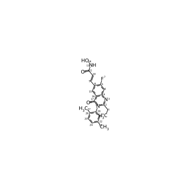 CCc1nc2cc(F)c(/C=C/C(=O)NO)cc2c(=O)n1-c1cc(C)ccc1C